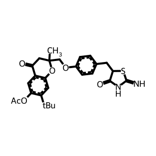 CC(=O)Oc1cc2c(cc1C(C)(C)C)OC(C)(COc1ccc(CC3SC(=N)NC3=O)cc1)CC2=O